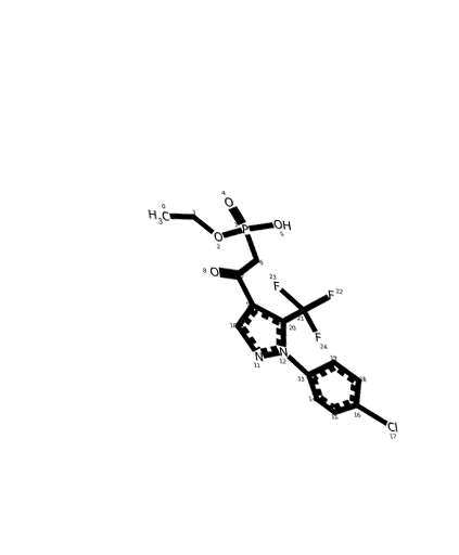 CCOP(=O)(O)CC(=O)c1cnn(-c2ccc(Cl)cc2)c1C(F)(F)F